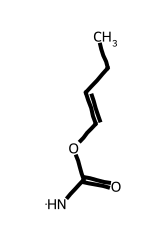 CCC=COC([NH])=O